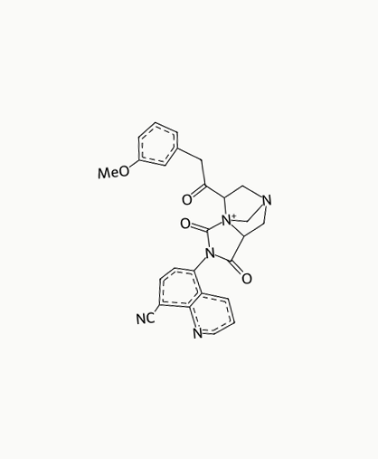 COc1cccc(CC(=O)C2CN3CC4C(=O)N(c5ccc(C#N)c6ncccc56)C(=O)[N+]24C3)c1